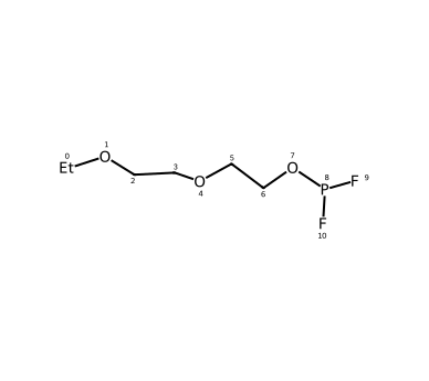 CCOCCOCCOP(F)F